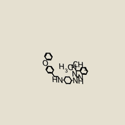 CN(C)c1nc(N[C@H]2CC[C@@H](NCCc3ccc(Oc4ccccc4)cc3)CC2)nc2ccccc12